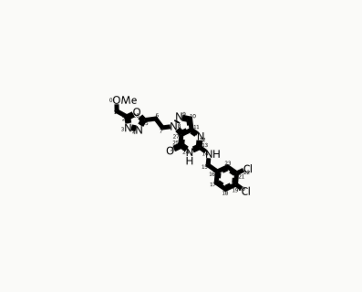 COCc1nnc(CCn2ncc3nc(NCc4ccc(Cl)c(Cl)c4)[nH]c(=O)c32)o1